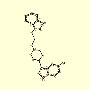 Oc1ccc2[nH]cc(C3CCN(CCCc4c[nH]c5ccccc45)CC3)c2c1